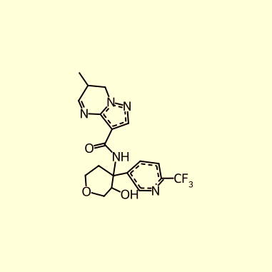 CC1C=Nc2c(C(=O)NC3(c4ccc(C(F)(F)F)nc4)CCOCC3O)cnn2C1